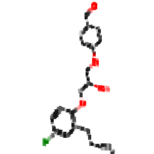 CCCc1cc(F)ccc1OCC(O)COc1ccc(C=O)cc1